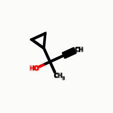 C#CC(C)(O)C1CC1